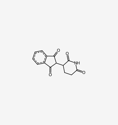 O=C1CCC(C2C(=O)c3ccccc3C2=O)C(=O)N1